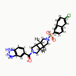 O=C(c1ccc2[nH]nnc2c1)N1CC2[C@H](C1)[C@H]1CN(S(=O)(=O)c3ccc4cc(Cl)ccc4c3)C[C@@H]21